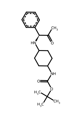 CC(=O)[C@@H](NC1CCC(NC(=O)OC(C)(C)C)CC1)c1ccccc1